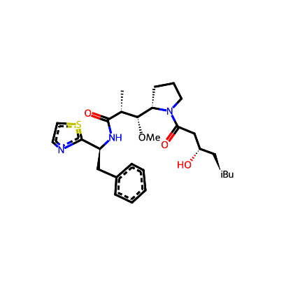 CC[C@H](C)C[C@H](O)CC(=O)N1CCC[C@H]1[C@H](OC)[C@@H](C)C(=O)N[C@@H](Cc1ccccc1)c1nccs1